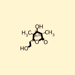 C[C@@H]1[C@@H](O)[C@H](C)C(=O)O[C@@H]1CCO